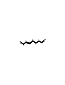 ICC=CCCCCI